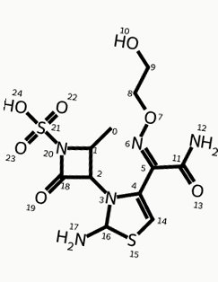 CC1C(N2C(C(=NOCCO)C(N)=O)=CSC2N)C(=O)N1S(=O)(=O)O